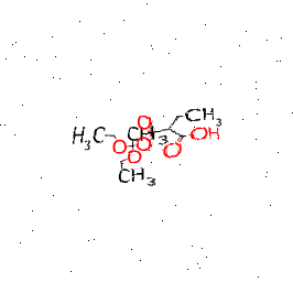 CCOC(C)(OCC)OC(=O)C(CC)C(=O)O